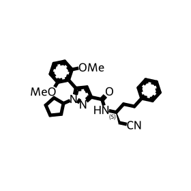 COc1cccc(OC)c1-c1cc(C(=O)N[C@H](CC#N)CCc2ccccc2)nn1C1CCCC1